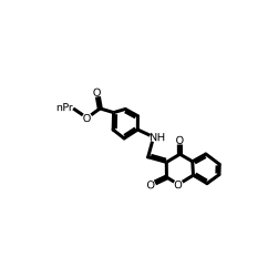 CCCOC(=O)c1ccc(NC=C2C(=O)Oc3ccccc3C2=O)cc1